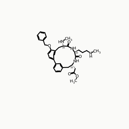 CNCCC[C@@H]1NC(=O)[C@@H](NC)Cc2cc(ccc2OCc2ccccc2)-c2cccc(c2)C[C@@H](CC(=O)OC)NC1=O